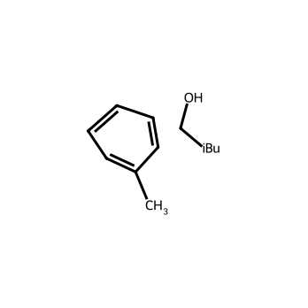 CCC(C)CO.Cc1ccccc1